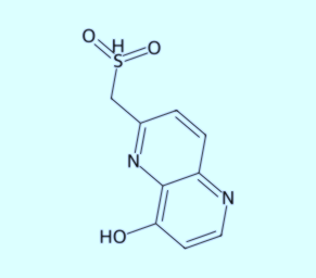 O=[SH](=O)Cc1ccc2nccc(O)c2n1